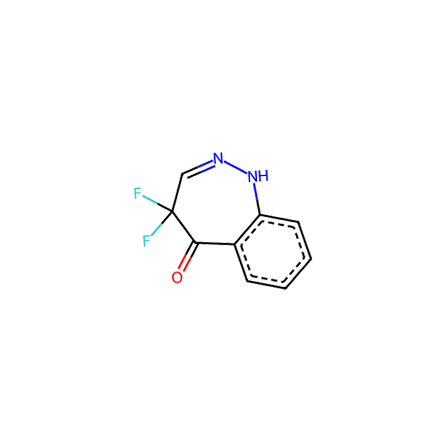 O=C1c2ccccc2NN=CC1(F)F